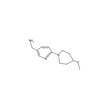 COC1CCN(c2ccc(CN)cn2)CC1